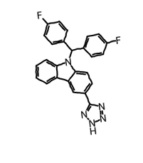 Fc1ccc(C(c2ccc(F)cc2)n2c3ccccc3c3cc(-c4nn[nH]n4)ccc32)cc1